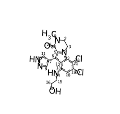 CN1CCn2c(c(-c3cn[nH]c3)c3c(NCCO)cc(Cl)c(Cl)c32)C1=O